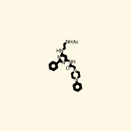 CC(=O)NCCNc1cc(NC(=O)CN2CCN(c3ccccc3)CC2)nc(-c2ccccc2)n1